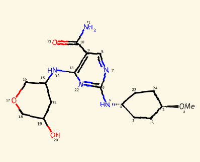 CO[C@H]1CC[C@H](Nc2ncc(C(N)=O)c(NC3COCC(O)C3)n2)CC1